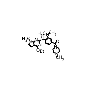 CCOc1nc(Nc2ccc(C(=O)N3CCN(C)CC3)cc2N(C)C)nc2c1ccn2C